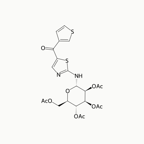 CC(=O)OC[C@H]1O[C@H](Nc2ncc(C(=O)c3ccsc3)s2)[C@@H](OC(C)=O)[C@@H](OC(C)=O)[C@@H]1OC(C)=O